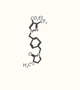 CCOC(=O)c1cn(Cc2ccc(CN3CC[C@H](C)C3=O)cc2)nc1C(F)(F)F